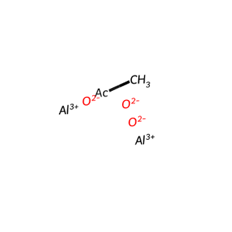 CC(C)=O.[Al+3].[Al+3].[O-2].[O-2].[O-2]